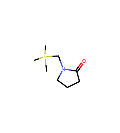 CS(C)(C)CN1CCCC1=O